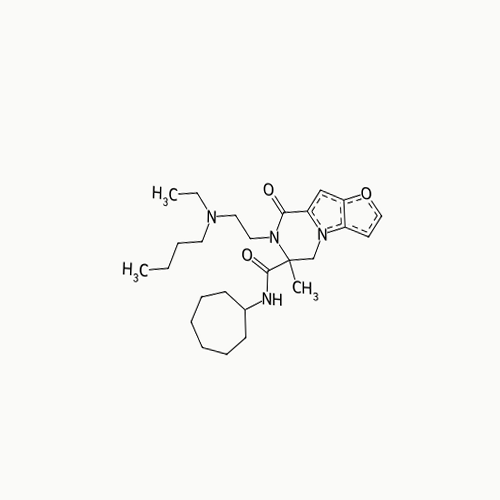 CCCCN(CC)CCN1C(=O)c2cc3occc3n2CC1(C)C(=O)NC1CCCCCC1